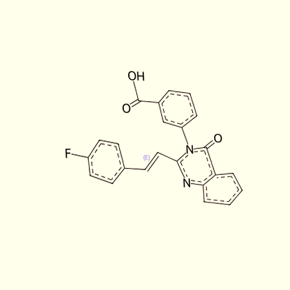 O=C(O)c1cccc(-n2c(/C=C/c3ccc(F)cc3)nc3ccccc3c2=O)c1